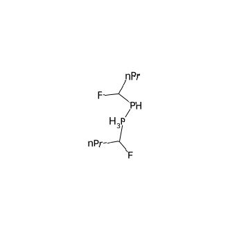 CCCC(F)P[PH3]C(F)CCC